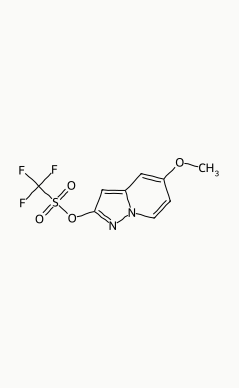 COc1ccn2nc(OS(=O)(=O)C(F)(F)F)cc2c1